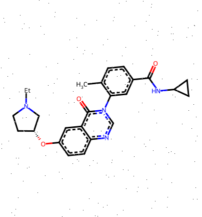 CCN1CC[C@@H](Oc2ccc3ncn(-c4cc(C(=O)NC5CC5)ccc4C)c(=O)c3c2)C1